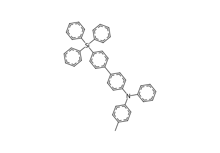 Cc1ccc(N(c2ccccc2)c2ccc(-c3ccc([Si](c4ccccc4)(c4ccccc4)c4ccccc4)cc3)cc2)cc1